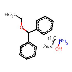 CCCC(C)C.NO.O=C(O)COC(c1ccccc1)c1ccccc1